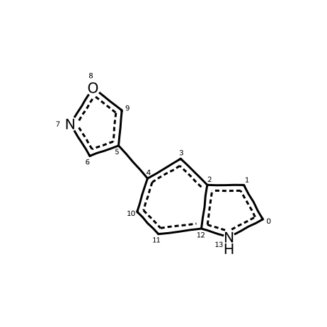 c1cc2cc(-c3cnoc3)ccc2[nH]1